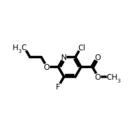 CCCOc1nc(Cl)c(C(=O)OC)cc1F